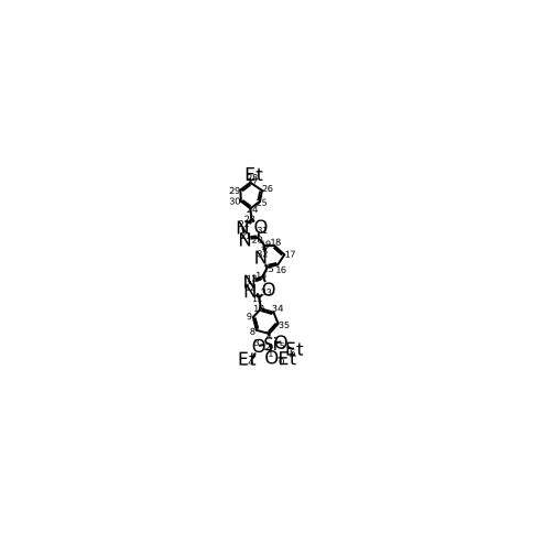 CCO[Si](OCC)(OCC)c1ccc(-c2nnc(-c3cccc(-c4nnc(-c5ccc(CC)cc5)o4)n3)o2)cc1